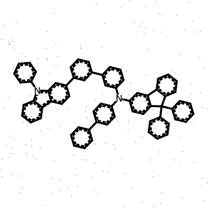 c1ccc(-c2ccc(N(c3cccc(-c4cccc(-c5ccc6c7ccccc7n(-c7ccccc7)c6c5)c4)c3)c3ccc4c(c3)-c3ccccc3C4(c3ccccc3)c3ccccc3)cc2)cc1